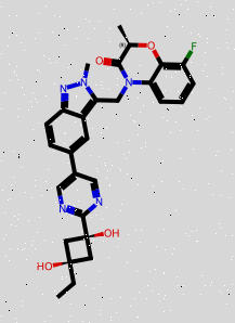 CC[C@]1(O)C[C@](O)(c2ncc(-c3ccc4nn(C)c(CN5C(=O)[C@@H](C)Oc6c(F)cccc65)c4c3)cn2)C1